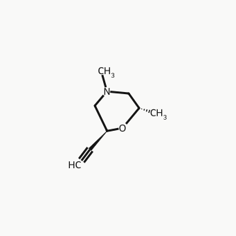 C#C[C@H]1CN(C)C[C@H](C)O1